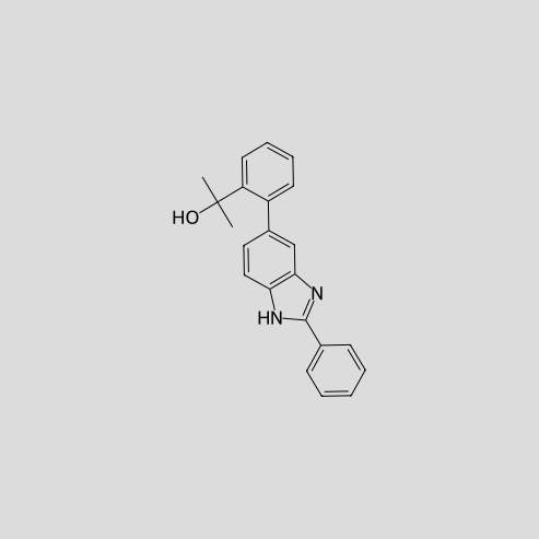 CC(C)(O)c1ccccc1-c1ccc2[nH]c(-c3ccccc3)nc2c1